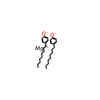 CCCCCCCCCc1ccc([O-])cc1.CCCCCCCCCc1ccc([O-])cc1.[Mg+2]